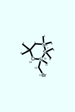 CC1(C)C[Si](C)(C)[Si](C)(C)[Si](C)(CBr)O1